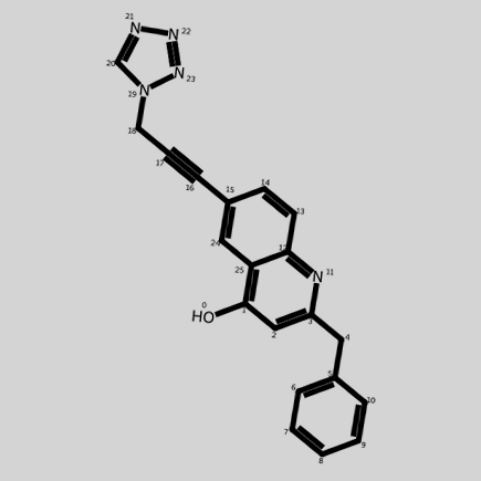 Oc1cc(Cc2ccccc2)nc2ccc(C#CCn3cnnn3)cc12